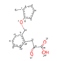 Cc1ccccc1OCc1ccccc1CC(=O)C(=O)O